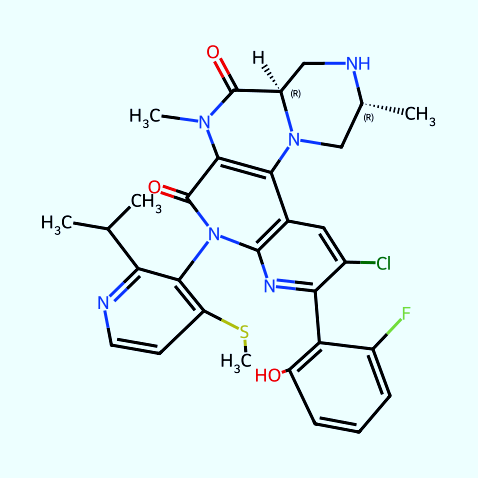 CSc1ccnc(C(C)C)c1-n1c(=O)c2c(c3cc(Cl)c(-c4c(O)cccc4F)nc31)N1C[C@@H](C)NC[C@@H]1C(=O)N2C